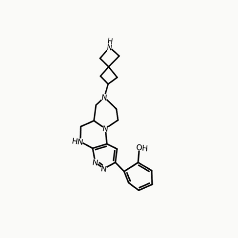 Oc1ccccc1-c1cc2c(nn1)NCC1CN(C3CC4(CNC4)C3)CCN21